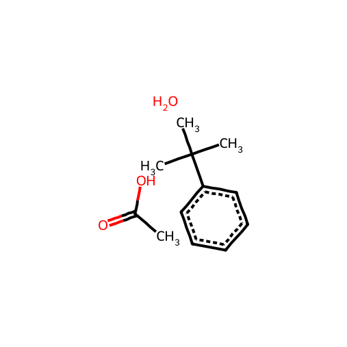 CC(=O)O.CC(C)(C)c1ccccc1.O